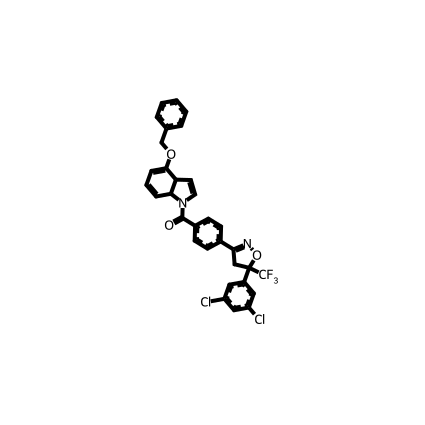 O=C(c1ccc(C2=NOC(c3cc(Cl)cc(Cl)c3)(C(F)(F)F)C2)cc1)N1C=CC2C(OCc3ccccc3)=CC=CC21